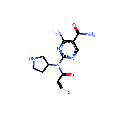 C=CC(=O)N(c1ncc(C(N)=O)c(N)n1)C1CCNC1